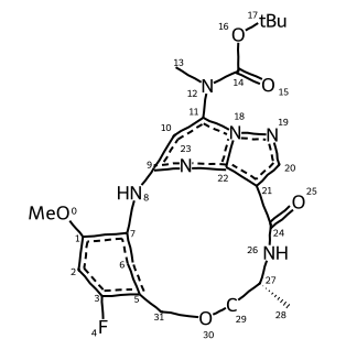 COc1cc(F)c2cc1Nc1cc(N(C)C(=O)OC(C)(C)C)n3ncc(c3n1)C(=O)N[C@H](C)COC2